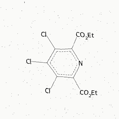 CCOC(=O)c1nc(C(=O)OCC)c(Cl)c(Cl)c1Cl